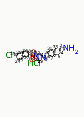 Cl.NCC1CCc2cc(CN3CCN(S(=O)(=O)c4ccc5cc(Cl)ccc5c4)CC3)ccc2C1